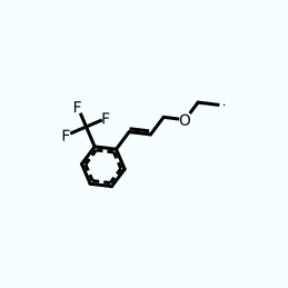 [CH2]COCC=Cc1ccccc1C(F)(F)F